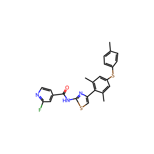 Cc1ccc(Sc2cc(C)c(-c3csc(NC(=O)c4ccnc(F)c4)n3)c(C)c2)cc1